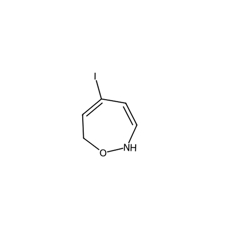 IC1=CCONC=C1